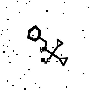 CC(NCc1ccccc1)(C1CC1)C1CC1